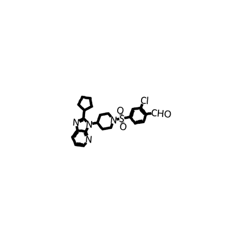 O=Cc1ccc(S(=O)(=O)N2CCC(n3c(C4CCCC4)nc4cccnc43)CC2)cc1Cl